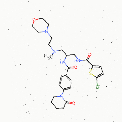 CN(CCN1CCOCC1)CC(CNC(=O)c1ccc(Cl)s1)NC(=O)c1ccc(N2CCCCC2=O)cc1